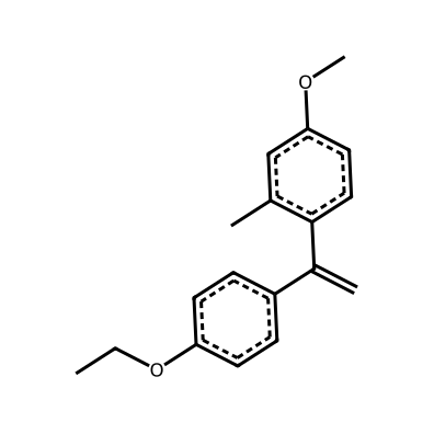 C=C(c1ccc(OCC)cc1)c1ccc(OC)cc1C